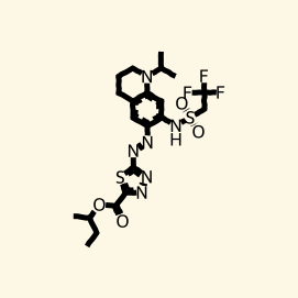 CCC(C)OC(=O)c1nnc(N=Nc2cc3c(cc2NS(=O)(=O)CC(F)(F)F)N(C(C)C)CCC3)s1